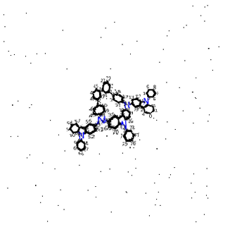 C1=Cc2c(n(-c3ccccc3)c3ccc(N(c4ccc(-c5ccccc5)cc4)c4ccc5c(c4)c4cc(N(c6ccc(-c7ccccc7)cc6)c6ccc7c(c6)c6ccccc6n7-c6ccccc6)ccc4n5-c4ccccc4)cc23)CC1